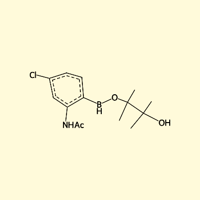 CC(=O)Nc1cc(Cl)ccc1BOC(C)(C)C(C)(C)O